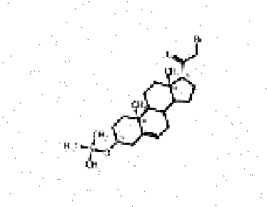 C[C@]12CC[C@H](O[Si](C)(C)C)CC1=CCC1C2CC[C@@]2(C)C1CC[C@@H]2C(=O)CBr